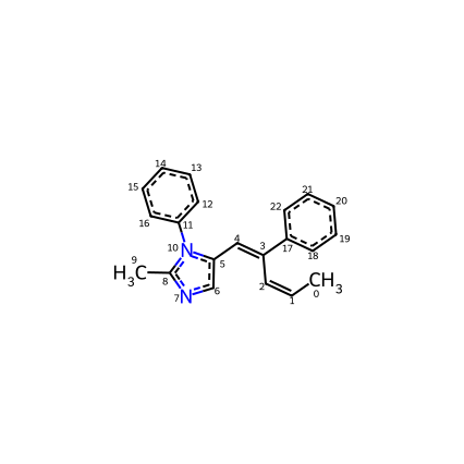 C/C=C\C(=C/c1cnc(C)n1-c1ccccc1)c1ccccc1